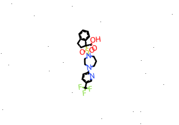 O=C(O)C1(S(=O)(=O)N2CCCN(c3ccc(C(F)(F)F)cn3)CC2)CCc2ccccc21